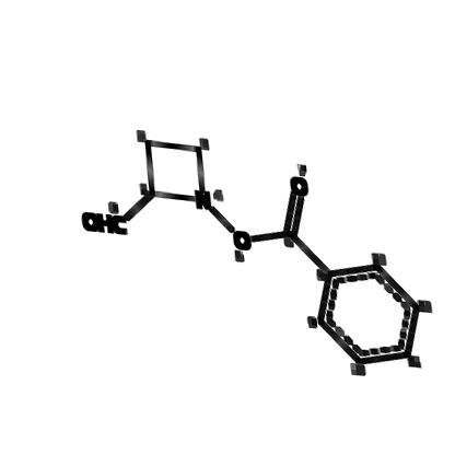 O=CC1CCN1OC(=O)c1ccccc1